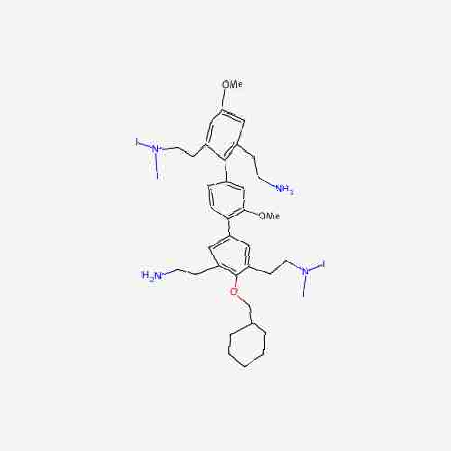 COc1cc(CCN)c(-c2ccc(-c3cc(CCN)c(OCC4CCCCC4)c(CCN(I)I)c3)c(OC)c2)c(CCN(I)I)c1